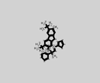 Cc1cc2c(cc1C(C)(C)C)-c1cc(C(C)(C)C)c(C)[c](/[Zr](=[CH]\C(C)(C)c3ccccc3)[C]3=CC=CC3)c1C2